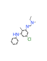 CCN(C)C=Nc1cc(Cl)cc(Nc2ccccc2)c1C